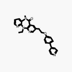 CCN1c2ncc(CCOc3ccc(-c4ccncc4)cc3)cc2C(=O)N(C)c2cccnc21